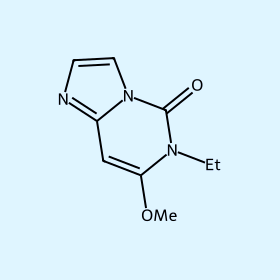 CCn1c(OC)cc2nccn2c1=O